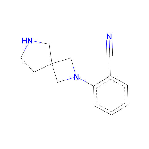 N#Cc1ccccc1N1CC2(CCNC2)C1